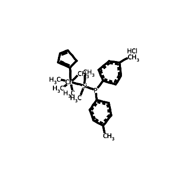 Cc1ccc(P(c2ccc(C)cc2)[Si](C)(C)[Cr]([CH3])([CH3])([CH3])([CH3])[C]2=CC=CC2)cc1.Cl